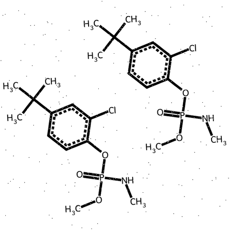 CNP(=O)(OC)Oc1ccc(C(C)(C)C)cc1Cl.CNP(=O)(OC)Oc1ccc(C(C)(C)C)cc1Cl